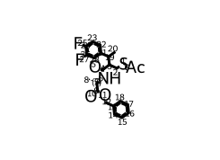 CC(=O)SCC(C(=O)N[C@@H](C)C(=O)OCc1ccccc1)C(C)c1ccc(F)c(F)c1